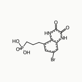 O=c1[nH]c2cc(Br)cc(CCCP(=O)(O)O)c2[nH]c1=O